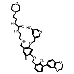 Cc1cc(CNCCNC(=O)NCCN2CCOCC2)c(OCc2cncc(C#N)c2)cc1OCc1cccc(-c2ccc3c(c2)OCCO3)c1C#N